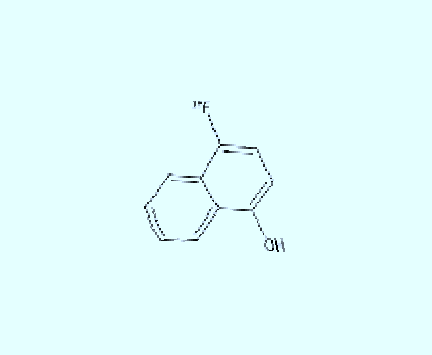 Oc1ccc([18F])c2ccccc12